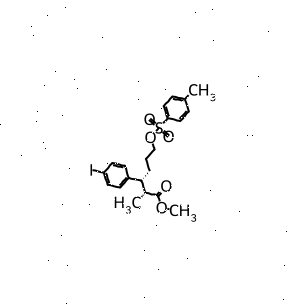 COC(=O)[C@H](C)[C@@H](CCCOS(=O)(=O)c1ccc(C)cc1)c1ccc(I)cc1